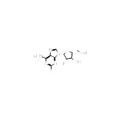 Nc1nc(F)nc2c1ncn2[C@@H]1O[C@H](CO)C(O)[C@@H]1F